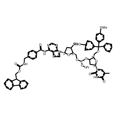 CCCOP(OC[C@H]1O[C@@H](n2cnc3c(NC(=O)c4ccc(CNC(=O)OCC5c6ccccc6-c6ccccc65)cc4)ncnc32)CC1O)OC1C[C@H](n2cc(C)c(=O)[nH]c2=O)O[C@@H]1COC(c1ccccc1)(c1ccc(OC)cc1)c1ccc(OC)cc1